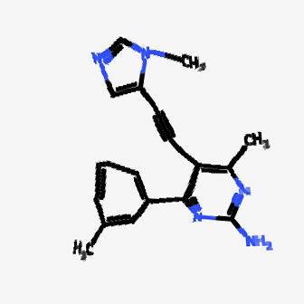 Cc1cccc(-c2nc(N)nc(C)c2C#Cc2cncn2C)c1